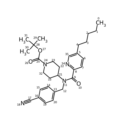 CCCCCc1ccc(C(=O)N(Cc2ccc(C#N)cc2)C2CCN(C(=O)OC(C)(C)C)CC2)nc1